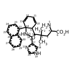 CC(C)(CC(N)C(=O)O)C(=O)C1C=CC=CC1(NCc1c[nH]cn1)c1cccc2ccccc12